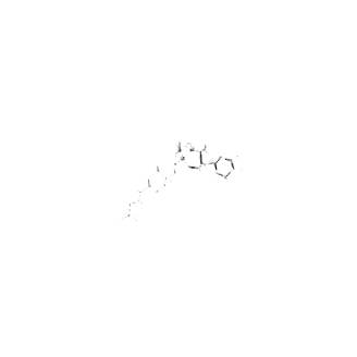 CC(C)CCCC1CCC(CCC2(C(F)(F)F)C=CC(c3ccccc3)=C(F)C2F)CC1